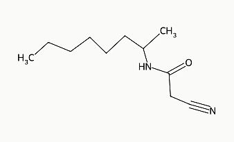 CCCCCCC(C)NC(=O)CC#N